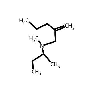 C=C(CCC)CN(C)C(C)CC